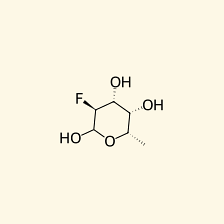 C[C@@H]1OC(O)[C@@H](F)[C@H](O)[C@@H]1O